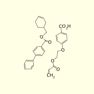 C=CC(=O)OCCOc1ccc(C(=O)O)cc1.O=C(OCC1CC=CCC1)c1ccc(-c2ccccc2)cc1